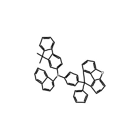 CC1(C)c2ccccc2-c2ccc(N(c3ccc(C4(c5ccccc5)c5cccc6oc7cccc4c7c56)cc3)c3cccc4ccccc34)cc21